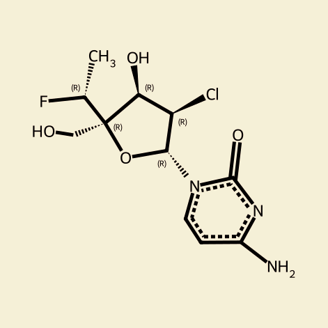 C[C@@H](F)[C@]1(CO)O[C@@H](n2ccc(N)nc2=O)[C@H](Cl)[C@@H]1O